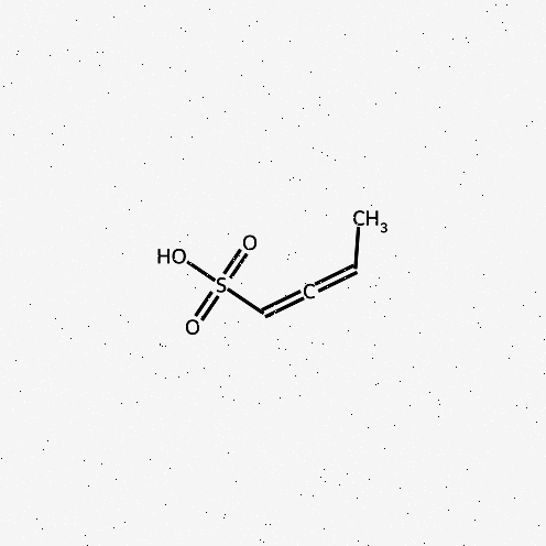 CC=C=CS(=O)(=O)O